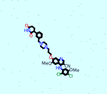 COc1cc(Nc2c(C#N)cnc3cc(OCCCN4CCN(Cc5cccc(C6CCC(=O)NC6=O)c5)CC4)c(OC)cc23)c(Cl)cc1Cl